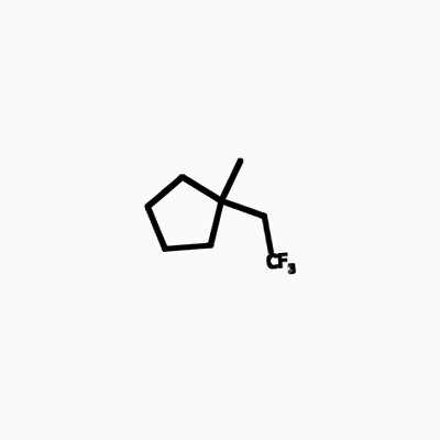 CC1(CC(F)(F)F)CCCC1